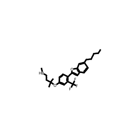 CBCCC(C)(C)Oc1ccc(-c2cc3ccc(CCCCC)cc3o2)c(C(F)(F)F)c1